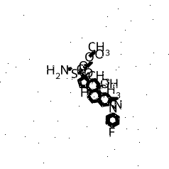 CC(=O)OCC(=O)O[C@]1(C(=O)SCN)CCC2[C@@H]3CCC4=Cc5c(cnn5-c5ccc(F)cc5)C[C@]4(C)C3[C@@H](O)C[C@@]21C